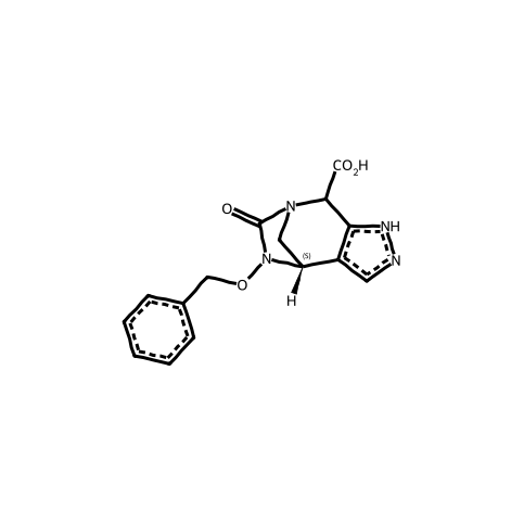 O=C(O)C1c2[nH]ncc2[C@H]2CN1C(=O)N2OCc1ccccc1